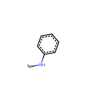 [3H]Nc1ccccc1